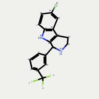 FC(F)(F)c1cccc(C2NCCc3c2[nH]c2ccc(Cl)cc32)c1